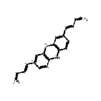 C=C/C=C/c1ccc2c(c1)Sc1cc(/C=C/C=C)ccc1N2